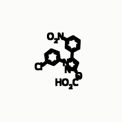 O=C(O)Oc1cc(-c2cccc([N+](=O)[O-])c2)n(-c2cccc(Cl)c2)n1